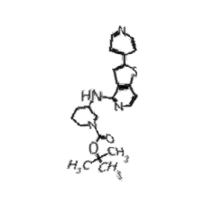 CC(C)(C)OC(=O)N1CCC[C@@H](Nc2nccc3sc(-c4ccncc4)cc23)C1